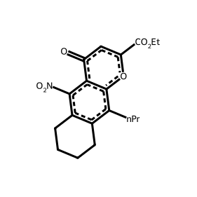 CCCc1c2c(c([N+](=O)[O-])c3c(=O)cc(C(=O)OCC)oc13)CCCC2